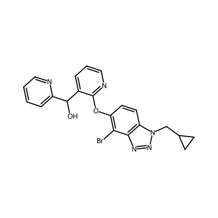 OC(c1ccccn1)c1cccnc1Oc1ccc2c(nnn2CC2CC2)c1Br